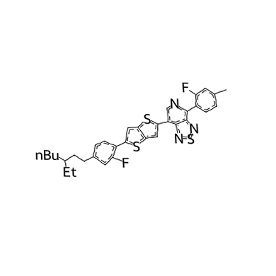 CCCCC(CC)CCc1ccc(-c2cc3sc(-c4cnc(-c5ccc(C)cc5F)c5nsnc45)cc3s2)c(F)c1